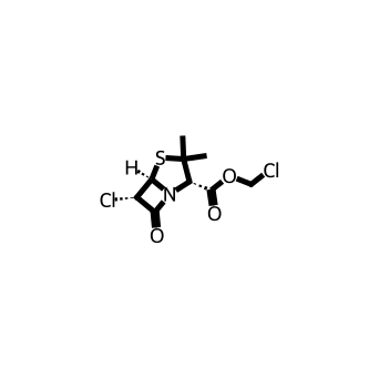 CC1(C)S[C@@H]2[C@@H](Cl)C(=O)N2[C@H]1C(=O)OCCl